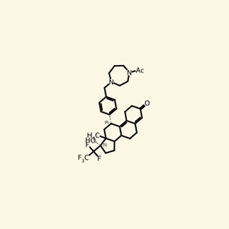 CC(=O)N1CCCN(Cc2ccc([C@H]3CC4(C)C(CC[C@@]4(O)C(F)(F)C(F)(F)F)C4CCC5=CC(=O)CCC5=C43)cc2)CC1